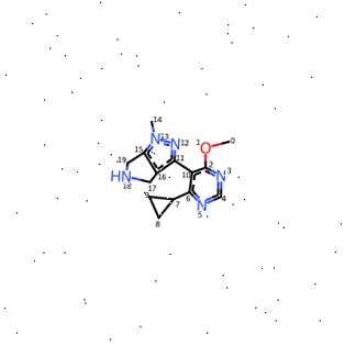 COc1ncnc(C2CC2)c1-c1nn(C)c2c1CNC2